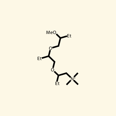 CCC(COC(CC)COC(CC)C[N+](C)(C)C)OC